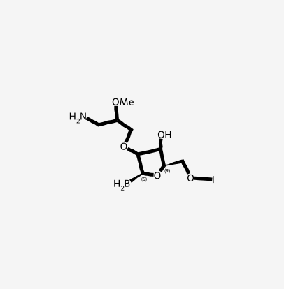 B[C@@H]1O[C@H](COI)C(O)C1OCC(CN)OC